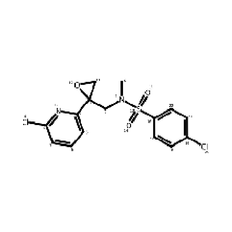 CN(CC1(c2cccc(Cl)n2)CO1)S(=O)(=O)c1ccc(Cl)cc1